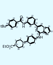 CCOC(=O)N1CCN(c2ccc(Nc3nc(-c4cccc(NC(=O)c5ccc(C(C)(C)C)cc5)c4)cn4ccnc34)cc2)CC1